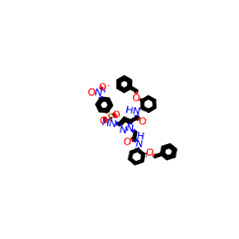 O=C(Cn1nc(NS(=O)(=O)c2ccc([N+](=O)[O-])cc2)cc1C(=O)N[C@H]1CCCC[C@@H]1OCc1ccccc1)N[C@H]1CCCC[C@@H]1OCc1ccccc1